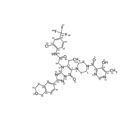 CCc1c(N2CCN(C(=O)c3ncnc(C)c3O)CC2)c(=O)n2nc(-c3ccc4c(c3)CCOC4)nc2n1CC(=O)Nc1ccc(C(F)(F)F)cc1Cl